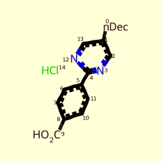 CCCCCCCCCCc1cnc(-c2ccc(C(=O)O)cc2)nc1.Cl